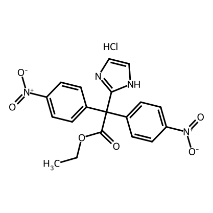 CCOC(=O)C(c1ccc([N+](=O)[O-])cc1)(c1ccc([N+](=O)[O-])cc1)c1ncc[nH]1.Cl